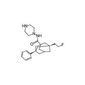 O=C(NN1CCNCC1)C12CC3C[C@@](CCF)(C1)C[C@](c1ccccc1)(C3)C2